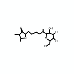 CC1NC(CCCCNC2OC(CO)C(O)C(O)C2O)C(=O)C1C